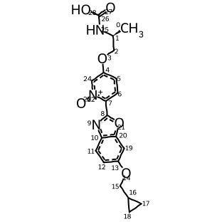 C[C@@H](COc1ccc(-c2nc3ccc(OCC4CC4)cc3o2)[n+]([O-])c1)NC(=O)O